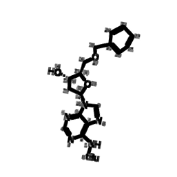 CC(C)(C)Nc1ncnc2c1ncn2[C@H]1C[C@H](O)[C@@H](COCc2ccccc2)O1